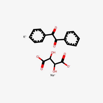 O=C(C(=O)c1ccccc1)c1ccccc1.O=C([O-])C(O)C(O)C(=O)[O-].[K+].[Na+]